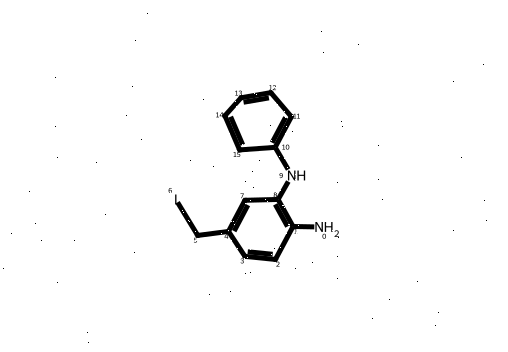 Nc1ccc(CI)cc1Nc1ccccc1